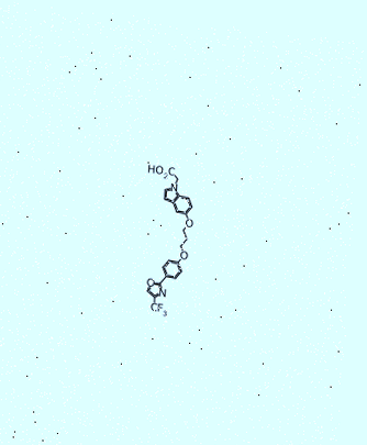 O=C(O)Cn1ccc2cc(OCCCOc3ccc(-c4nc(C(F)(F)F)co4)cc3)ccc21